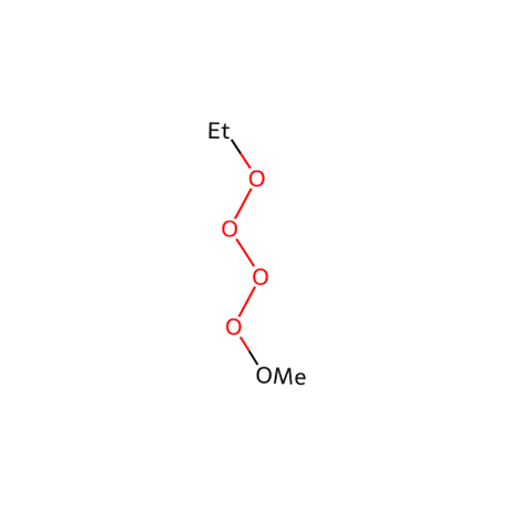 CCOOOOOC